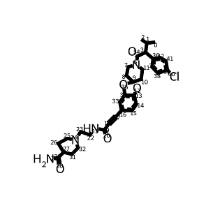 CC(C)C(C(=O)N1CCC2(CC1)Oc1ccc(C#CC(=O)NCCN3CCC(C(N)=O)CC3)cc1O2)c1ccc(Cl)cc1